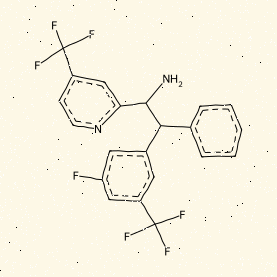 NC(c1cc(C(F)(F)F)ccn1)C(c1ccccc1)c1cc(F)cc(C(F)(F)F)c1